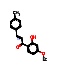 CCOc1ccc(C(=O)/C=C/c2ccc(C)cc2)c(O)c1